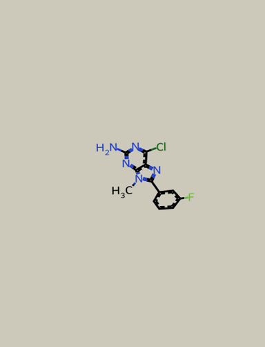 Cn1c(-c2cccc(F)c2)nc2c(Cl)nc(N)nc21